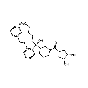 COCCCC[C@@](O)(c1ccccc1OCc1ccccc1)[C@@H]1CCCN(C(=O)[C@H]2C[C@@H](N)[C@@H](O)C2)C1